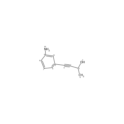 CC(O)C#Cc1cccc(N)c1